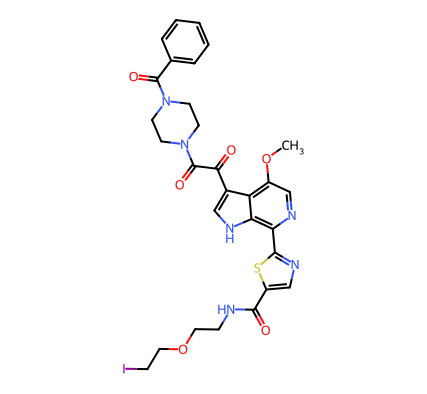 COc1cnc(-c2ncc(C(=O)NCCOCCI)s2)c2[nH]cc(C(=O)C(=O)N3CCN(C(=O)c4ccccc4)CC3)c12